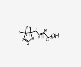 CC1(C)C=CCC1(C)C/C=C/CO